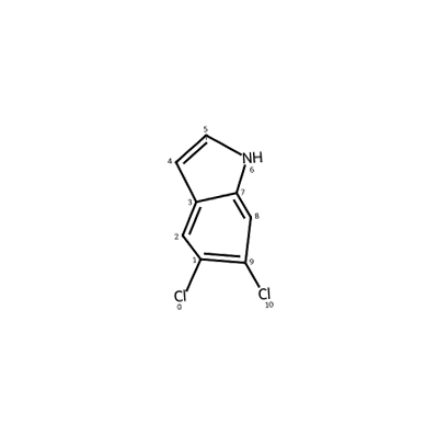 Clc1cc2c[c][nH]c2cc1Cl